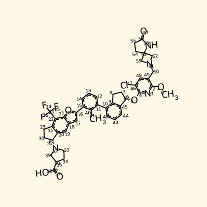 COc1nc(O[C@H]2CCc3c(-c4cccc(-c5cc6cc7c(c(C(F)(F)F)c6o5)CC[C@H]7N5CC[C@@H](C(=O)O)C5)c4C)cccc32)c(Cl)cc1CN1CC2(CCC(=O)N2)C1